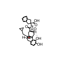 C[C@H]1C(O)=C(C(=O)NC2(C(=O)O)Cc3ccccc3C2)C[C@@]2(O)[C@H]3Cc4ccc(O)c(O)c4[C@@]12CCN3CC1CC1